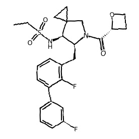 CCS(=O)(=O)N[C@@H]1[C@H](Cc2cccc(-c3cccc(F)c3)c2F)N(C(=O)[C@H]2CCO2)CC12CC2